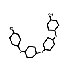 OC1CCC(OC2CCC(OC3CCC(OC4CCC(O)CC4)CC3)CC2)CC1